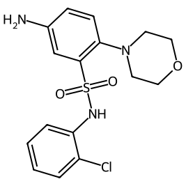 Nc1ccc(N2CCOCC2)c(S(=O)(=O)Nc2ccccc2Cl)c1